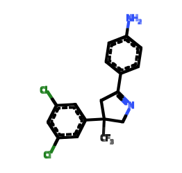 Nc1ccc(C2=NCC(c3cc(Cl)cc(Cl)c3)(C(F)(F)F)C2)cc1